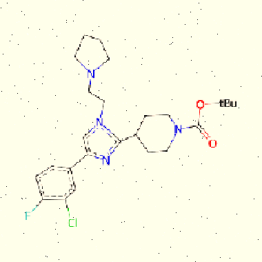 CC(C)(C)OC(=O)N1CCC(c2nc(-c3ccc(F)c(Cl)c3)cn2CCN2CCCC2)CC1